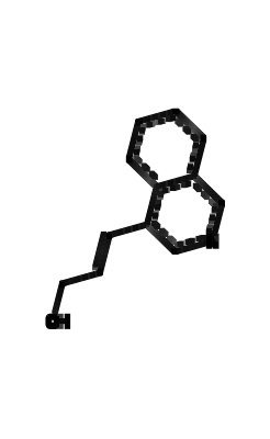 OCC=Cc1cncc2ccccc12